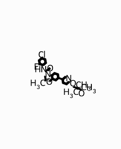 CC(=O)C(C)(C)COc1ccc(-c2ccc3c(c2)O[C@H](C)CN3C(=O)Nc2ccc(Cl)cc2F)cn1